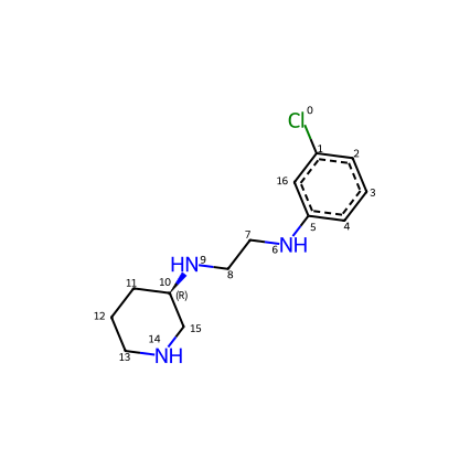 Clc1cccc(NCCN[C@@H]2CCCNC2)c1